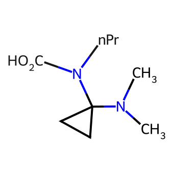 CCCN(C(=O)O)C1(N(C)C)CC1